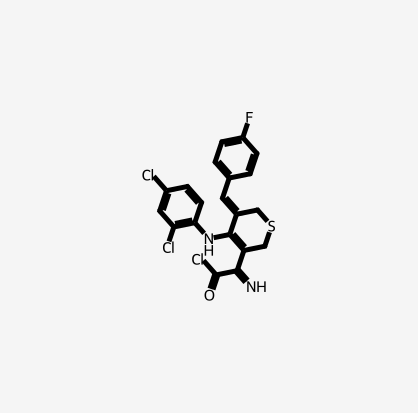 N=C(C(=O)Cl)C1=C(Nc2ccc(Cl)cc2Cl)/C(=C/c2ccc(F)cc2)CSC1